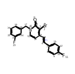 O=c1c(Br)c(/C=C/c2ccc(F)cc2)ccn1Cc1cccc(F)c1